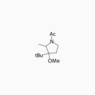 COC1(C(C)(C)C)CCN(C(C)=O)C1C